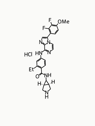 CCc1cc(Nc2nccn3c(-c4ccc(OC)c(F)c4F)cnc23)ccc1C(=O)NC1[C@H]2CNC[C@@H]12.Cl